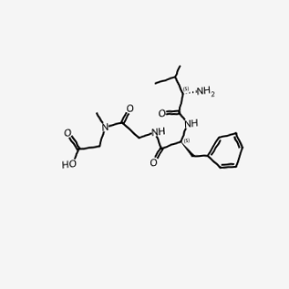 CC(C)[C@H](N)C(=O)N[C@@H](Cc1ccccc1)C(=O)NCC(=O)N(C)CC(=O)O